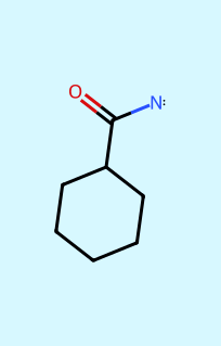 [N]C(=O)C1CCCCC1